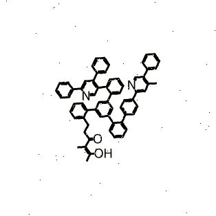 C/C(O)=C(\C)C(=O)CCc1ccccc1-c1cc(-c2ccccc2-c2ccc(-c3cc(C)c(-c4ccccc4)cn3)cc2)cc(-c2ccccc2-c2cnc(-c3ccccc3)cc2-c2ccccc2)c1